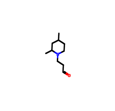 CC1CCN(CCC=O)C(C)C1